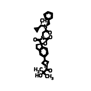 C[C@@H](C1CC1)N(Cc1ccccc1)C(=O)CN1C(=O)O[C@@]2(CCc3cc(C4CN(C(=O)C(C)(C)O)C4)ccc32)C1=O